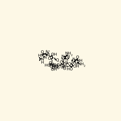 COCC[C@H]1[C@@H](O)[C@H](n2c[n+](C)c3c(=O)[nH]c(NC(C)C)nc32)O[C@@H]1COP(=O)(O)OP(=O)(O)OP(=O)(O)OCC1O[C@@H](n2cnc3c(N)ncnc32)[C@H](OC)[C@@H]1P(=O)([O-])OC[C@H]1O[C@@H](n2cnc3c(=O)[nH]c(N)nc32)[C@H](O)[C@@H]1O